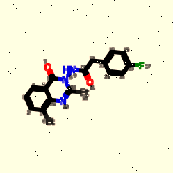 CCc1cccc2c(=O)n(NC(=O)Cc3ccc(F)cc3)c(CC)nc12